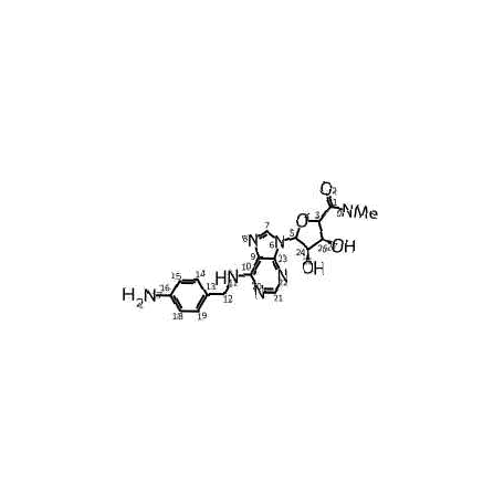 CNC(=O)C1OC(n2cnc3c(NCc4ccc(N)cc4)ncnc32)[C@H](O)[C@@H]1O